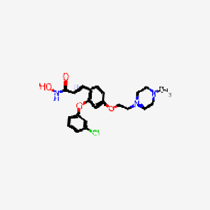 CN1CCN(CCOc2ccc(/C=C/C(=O)NO)c(Oc3cccc(Cl)c3)c2)CC1